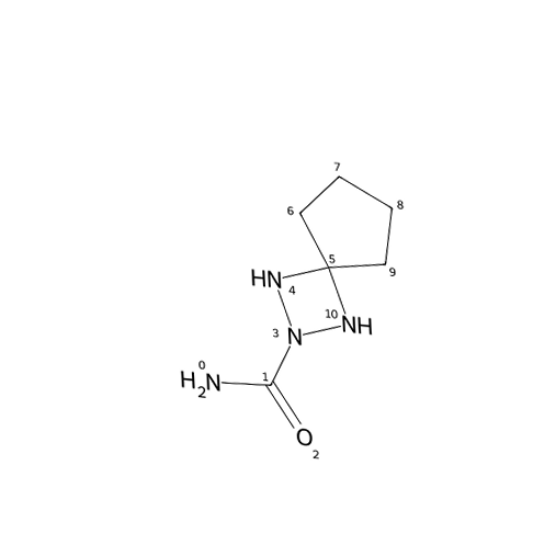 NC(=O)N1NC2(CCCC2)N1